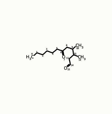 CCCCCCC(=O)CC(C)C(C)CC=O